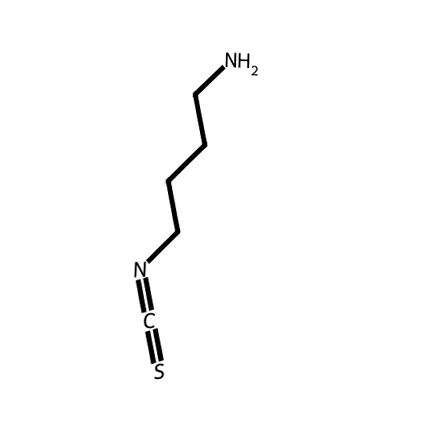 NCCCCN=C=S